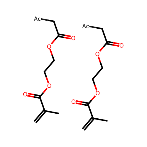 C=C(C)C(=O)OCCOC(=O)CC(C)=O.C=C(C)C(=O)OCCOC(=O)CC(C)=O